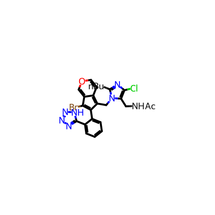 CCCCc1nc(Cl)c(CNC(C)=O)n1Cc1c2ccocc-2c(Br)c1-c1ccccc1-c1nnn[nH]1